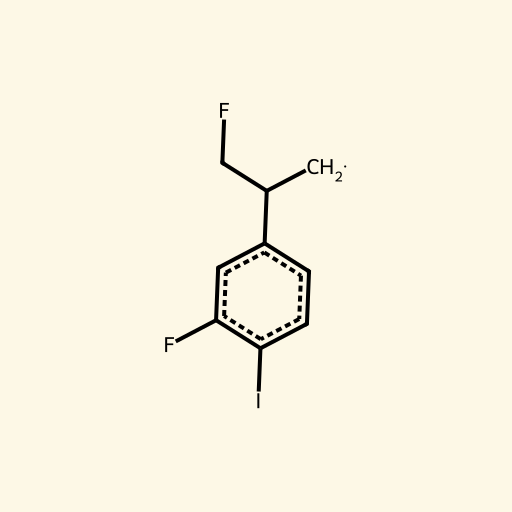 [CH2]C(CF)c1ccc(I)c(F)c1